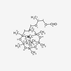 CC(CO[C]=O)OCCC[Si](C)(C)O[Si](C)(C)O[Si](C)(C)O[Si](C)(C)O[Si](C)(C)C